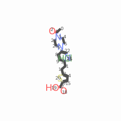 CC(=O)N1CCN(c2ccc(CCc3ccc(C(=O)O)s3)nc2)CC1.Cl